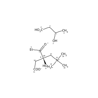 CC(O)CC(=O)O.CCC(=O)[C@@](O)(CC(=O)[O-])C[N+](C)(C)C